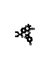 CCN(CC)C(=O)c1ccc2c(c1)[C@@H](Oc1noc3cc(Cl)ccc13)[C@H](O)C(C)(C)O2